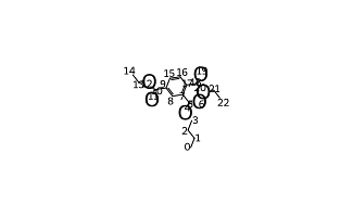 CCCCOC(=O)c1cc(C(=O)OCC)ccc1C(=O)OCC